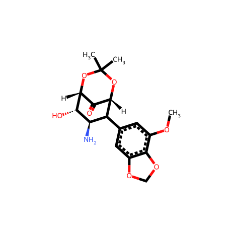 COc1cc(C2[C@@H](N)[C@H](O)[C@@H]3OC(C)(C)O[C@H]2C3=O)cc2c1OCO2